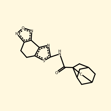 O=C(Nc1nc2c(s1)CCc1nonc1-2)C12CC3CC(CC1C3)C2